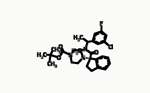 CC(c1cc(F)cc(Cl)c1)N(C)C(=O)[C@]1(N2CCN(C(=O)OC(C)(C)C)CC2)CCc2ccccc21